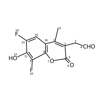 Cc1c(CC=O)c(=O)oc2c(F)c(O)c(F)cc12